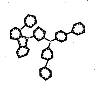 c1ccc(-c2ccc(N(c3ccc(-c4ccccc4)cc3)c3cccc(-n4c5ccccc5c5cccc(-c6ccccc6)c54)c3)cc2)cc1